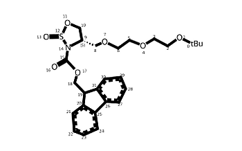 CC(C)(C)OCCOCCOC[C@H]1COS(=O)N1C(=O)OCC1c2ccccc2-c2ccccc21